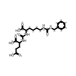 O=C(O)CCC(NC(=O)NC(CCCCNC(=O)OCc1ccccc1)C(=O)O)C(=O)O